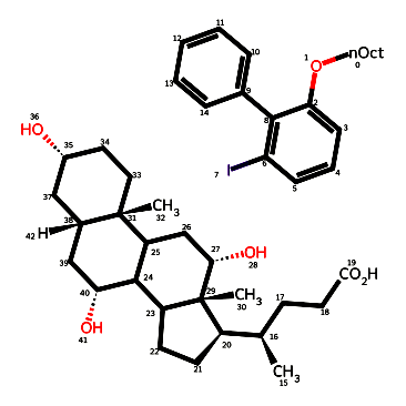 CCCCCCCCOc1cccc(I)c1-c1ccccc1.C[C@H](CCC(=O)O)[C@H]1CCC2C3C(C[C@H](O)[C@@]21C)[C@@]1(C)CC[C@@H](O)C[C@H]1C[C@H]3O